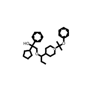 CCC(OCC(O)(c1ccccc1)C1CCCC1)C1CCN(C(C)(C)Oc2ccccc2)CC1